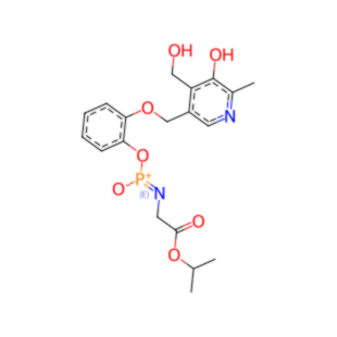 Cc1ncc(COc2ccccc2O/[P+]([O-])=N/CC(=O)OC(C)C)c(CO)c1O